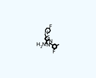 Cc1cc(F)cc(-c2nc(N)c3cc(CN4CCC(F)CC4)sc3n2)c1